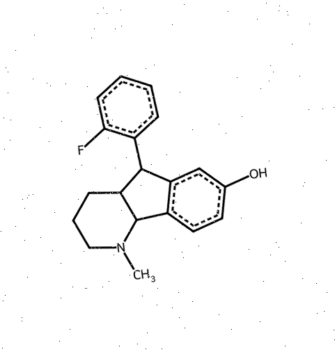 CN1CCCC2C(c3ccccc3F)c3cc(O)ccc3C21